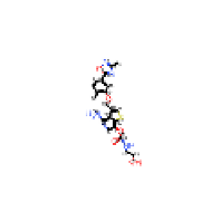 Cc1noc(-c2ccc(C)c(OCc3csc4c(OC(=O)NCCO)cnc(N)c34)c2)n1